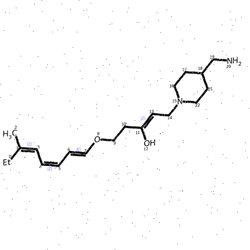 CC\C(C)=C/C=C\C=C\OCC/C(O)=C/CN1CCC(CN)CC1